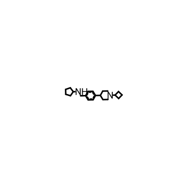 c1cc(C2CCN(C3CCC3)CC2)ccc1CNC1CCCC1